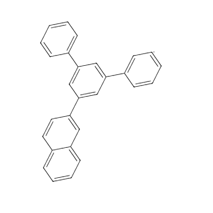 [c]1cccc(-c2cc(-c3ccccc3)cc(-c3ccc4ccccc4c3)c2)c1